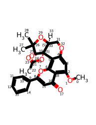 COc1cc2c(c3oc(-c4ccccc4)cc(=O)c13)[C@@]1(OC(C)=O)C(=O)C(C)(C)O[C@H]1CO2